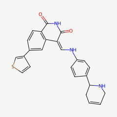 O=C1NC(=O)c2ccc(-c3ccsc3)cc2/C1=C/Nc1ccc(C2CC=CCN2)cc1